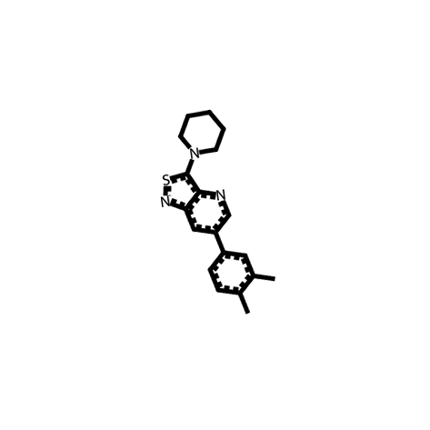 Cc1ccc(-c2cnc3c(N4CCCCC4)snc3c2)cc1C